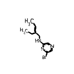 C/C=C(\CC)CNc1cncc(Br)n1